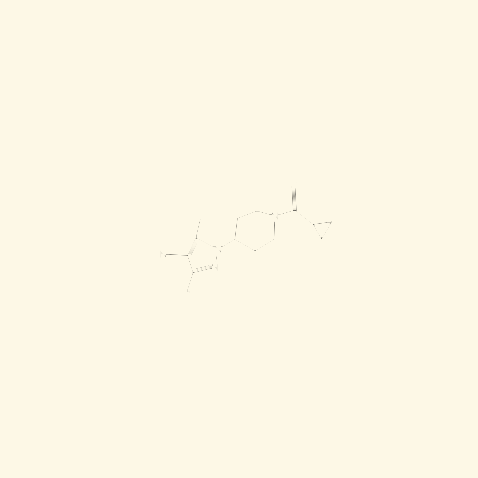 Cc1c([N+](=O)[O-])c(Cl)nn1C1CCN(C(=O)C2CC2)CC1